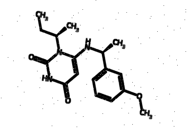 CC[C@@H](C)n1c(N[C@@H](C)c2cccc(OC)c2)cc(=O)[nH]c1=O